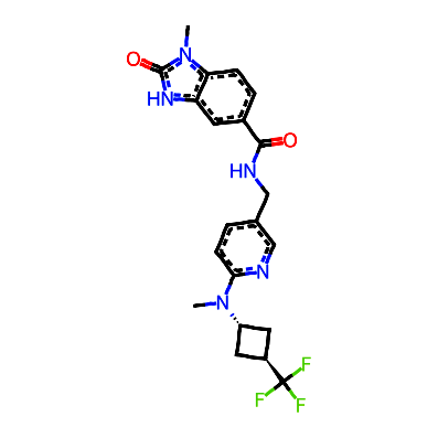 Cn1c(=O)[nH]c2cc(C(=O)NCc3ccc(N(C)[C@H]4C[C@H](C(F)(F)F)C4)nc3)ccc21